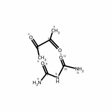 CC(=O)C(C)=O.NC(=O)NC(N)=O